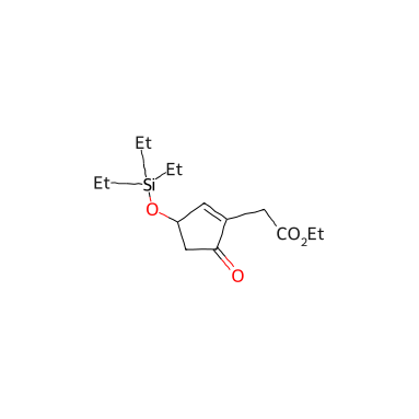 CCOC(=O)CC1=CC(O[Si](CC)(CC)CC)CC1=O